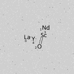 [La].[Nd].[O]=[Sc].[Y]